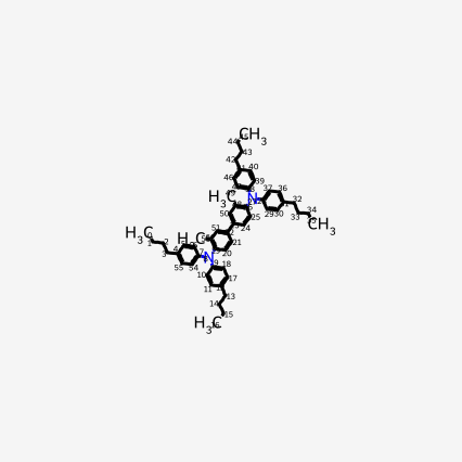 CCCCc1ccc(N(c2ccc(CCCC)cc2)c2ccc(-c3ccc(N(c4ccc(CCCC)cc4)c4ccc(CCCC)cc4)c(C)c3)cc2C)cc1